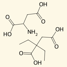 CCC(CC)(CC(=O)O)C(=O)O.NC(CC(=O)O)C(=O)O